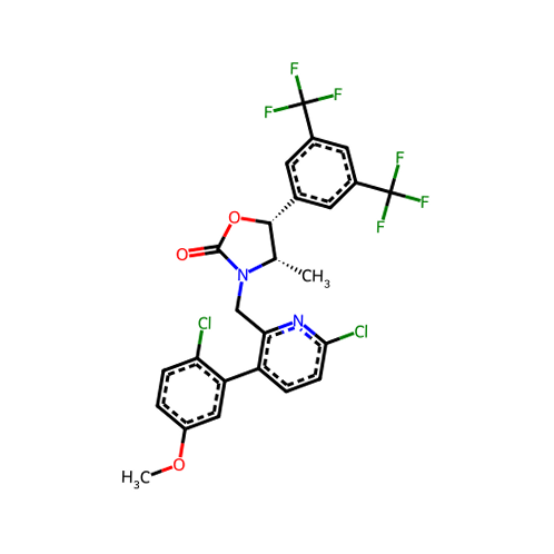 COc1ccc(Cl)c(-c2ccc(Cl)nc2CN2C(=O)O[C@H](c3cc(C(F)(F)F)cc(C(F)(F)F)c3)[C@@H]2C)c1